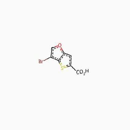 O=C(O)c1cc2occ(Br)c2s1